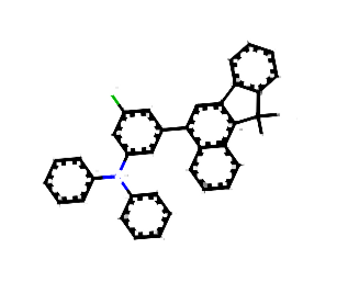 CC1(C)c2ccccc2-c2cc(-c3cc(Cl)cc(N(c4ccccc4)c4ccccc4)c3)c3ccccc3c21